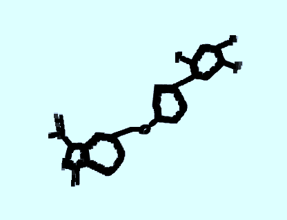 CNc1n[nH]c2ccc(COc3ccc(-c4cc(F)c(F)cc4F)cc3)cc12